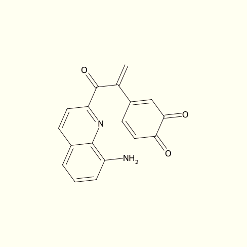 C=C(C(=O)c1ccc2cccc(N)c2n1)C1=CC(=O)C(=O)C=C1